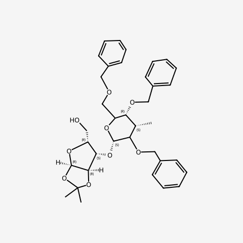 C[C@@H]1C(OCc2ccccc2)[C@H](O[C@@H]2[C@H]3OC(C)(C)O[C@H]3O[C@@H]2CO)OC(COCc2ccccc2)[C@@H]1OCc1ccccc1